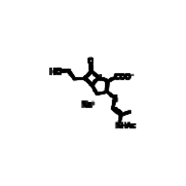 CC(=O)NC(C)=CSC1=C(C(=O)[O-])N2C(=O)C(CCO)C2C1.[Na+]